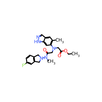 CCOC(=O)CN(CC(=O)N(C)N1Cc2ccc(F)cc2C1)c1cc2[nH]ncc2cc1C